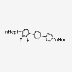 CCCCCCCCCc1ccc(-c2ccc(-c3ccc(CCCCCCC)c(F)c3F)cc2)cc1